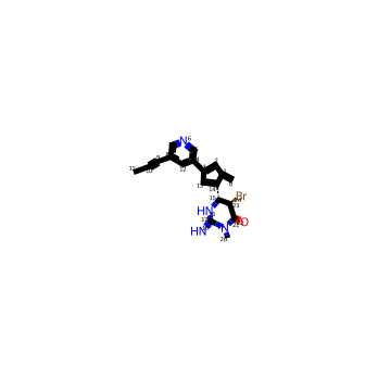 C=C1C=C(c2cncc(C#CC)c2)C=C1[C@H]1NC(=N)N(C)C(=O)[C@@H]1Br